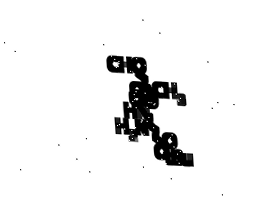 CN(OC(=O)NCC(N)CCC(=O)OC(C)(C)C)C(=O)CCC=O